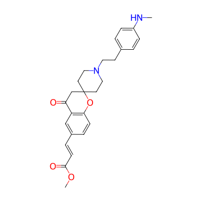 CNc1ccc(CCN2CCC3(CC2)CC(=O)c2cc(/C=C/C(=O)OC)ccc2O3)cc1